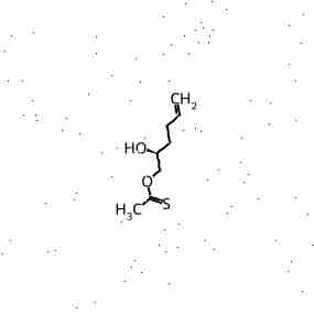 C=CCC[C@H](O)COC(C)=S